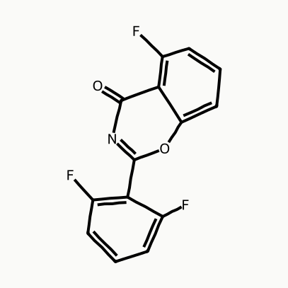 O=c1nc(-c2c(F)cccc2F)oc2cccc(F)c12